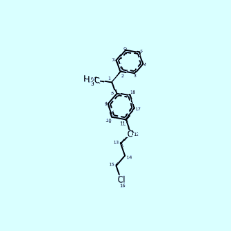 CC(c1ccccc1)c1ccc(OCCCCl)cc1